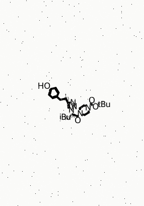 CC[C@H](C)[C@@H](C(=O)N1CCN(C(=O)OC(C)(C)C)CC1)n1cc([C@@H](C)Cc2ccc(O)cc2)nn1